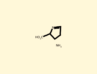 N.O=C(O)C1CCC=N1